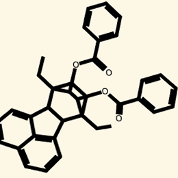 CCC12CCC(CC)(C(OC(=O)c3ccccc3)C1OC(=O)c1ccccc1)C1c3cccc4cccc(c34)C12